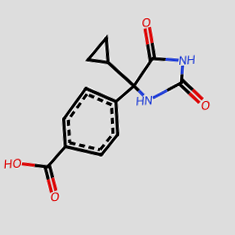 O=C1NC(=O)C(c2ccc(C(=O)O)cc2)(C2CC2)N1